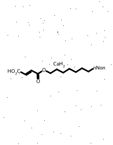 CCCCCCCCCCCCCCCCOC(=O)C=CC(=O)O.[CaH2]